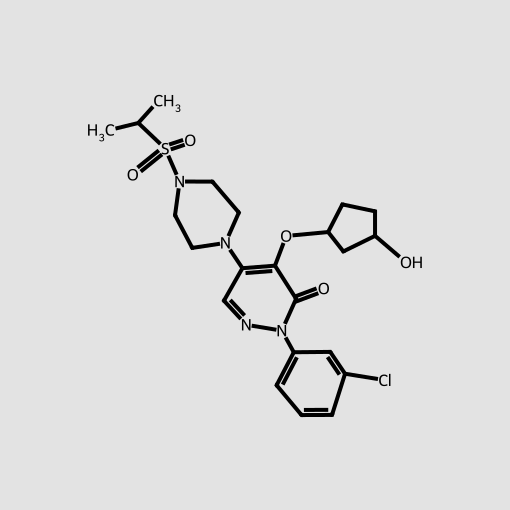 CC(C)S(=O)(=O)N1CCN(c2cnn(-c3cccc(Cl)c3)c(=O)c2OC2CCC(O)C2)CC1